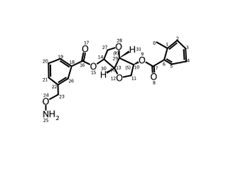 Cc1ccccc1C(=O)O[C@H]1CO[C@@H]2C(OC(=O)c3cccc(CON)c3)CO[C@H]12